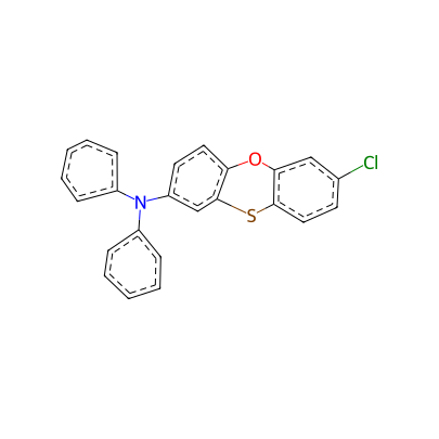 Clc1ccc2c(c1)Oc1ccc(N(c3ccccc3)c3ccccc3)cc1S2